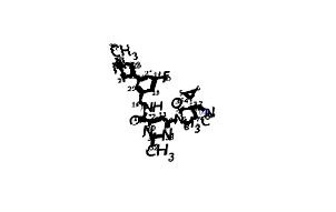 C/N=C\[C@@]1(C2CC2)CCN(c2cc(C(=O)NCc3cc(F)cc(-c4cnn(C)c4)c3)nc(C)n2)C1=O